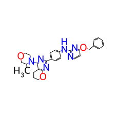 C[C@H]1COCCN1c1nc(-c2ccc(Nc3nccc(OCc4ccccc4)n3)cc2)nc2c1CCCO2